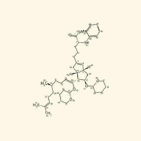 COC(=O)C(CCCC1=C[C@@H]2C[C@@H](OC3CCCCO3)[C@H](C(=CCC[C@H](C)CCC=C(C)C)OC3CCCCO3)[C@@H]2C1)[Se]c1ccccc1